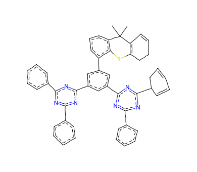 CC1(C)C2=C(CCC=C2)Sc2c(-c3cc(-c4nc(-c5ccccc5)nc(-c5ccccc5)n4)cc(-c4nc(-c5ccccc5)nc(C5C=CC=CC5)n4)c3)cccc21